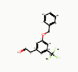 O=CCc1cc(OCc2ccccc2)cc(C(F)(F)F)c1